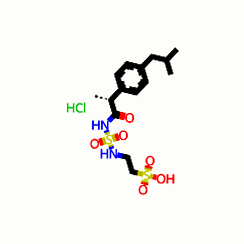 CC(C)Cc1ccc([C@@H](C)C(=O)NS(=O)(=O)NCCS(=O)(=O)O)cc1.Cl